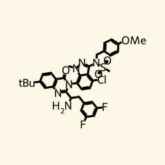 COc1ccc(CN(c2nn(C)c3c(-n4c(C(N)Cc5cc(F)cc(F)c5)nc5cc(C(C)(C)C)ccc5c4=O)ccc(Cl)c23)S(C)(=O)=O)cc1